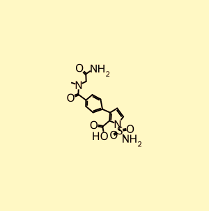 CN(CC(N)=O)C(=O)c1ccc(-c2ccn(S(N)(=O)=O)c2C(=O)O)cc1